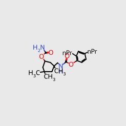 CCCc1ccc(OC(=O)NCC2(C)CC(OC(N)=O)CC(C)(C)C2)c(CCC)c1